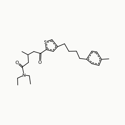 CCN(CC)C(=O)CC(C)CC(=O)c1cc(CCCCc2ccc(C)cc2)cs1